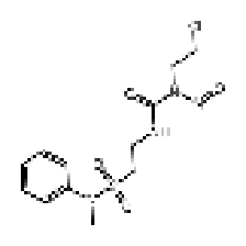 CN(c1ccccc1)S(=O)(=O)CCNC(=O)N(CCCl)N=O